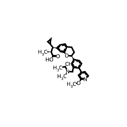 COc1cc(-c2ccc([C@@H]3CCc4ccc([C@H](C5CC5)[C@H](C)C(=O)O)cc4O3)cc2CN(C)C(C)C)ccn1